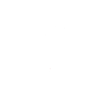 O=P(CCCBr)(CCCBr)CCCBr